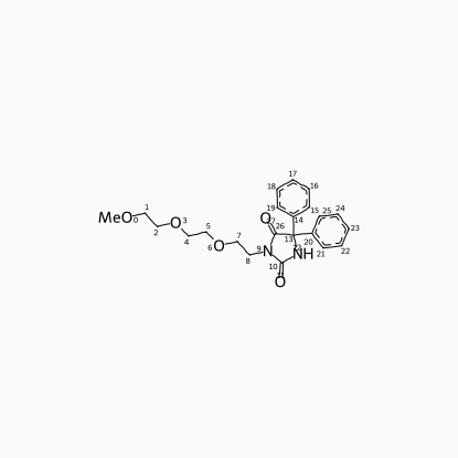 COCCOCCOCCN1C(=O)NC(c2ccccc2)(c2ccccc2)C1=O